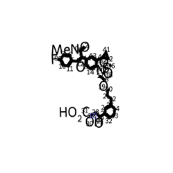 CNC(=O)c1c(-c2ccc(F)cc2)oc2cc(N(CCOCCCC3=CC(C(=O)/C=C(\O)C(=O)O)=CCC3)S(C)(=O)=O)c(C3CC3)cc12